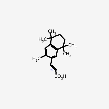 Cc1cc2c(cc1/C=C/C(=O)O)C(C)(C)CCC2(C)C